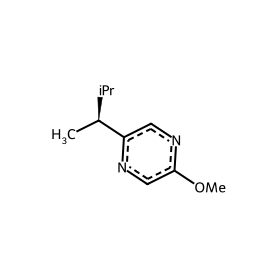 COc1cnc([C@@H](C)C(C)C)cn1